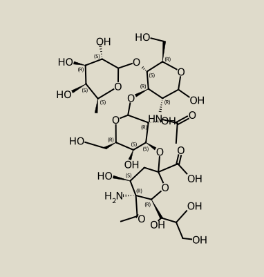 CC(=O)N[C@H]1C(O)O[C@H](CO)[C@@H](OC2O[C@@H](C)[C@@H](O)[C@@H](O)[C@@H]2O)[C@@H]1OC1O[C@H](CO)[C@H](O)[C@H](OC2(C(=O)O)C[C@H](O)[C@](N)(C(C)=O)[C@H](C(O)C(O)CO)O2)[C@H]1O